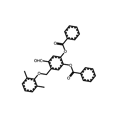 Cc1cccc(C)c1OCc1cc(OC(=O)c2ccccc2)c(OC(=O)c2ccccc2)cc1C=O